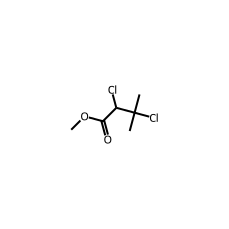 COC(=O)C(Cl)C(C)(C)Cl